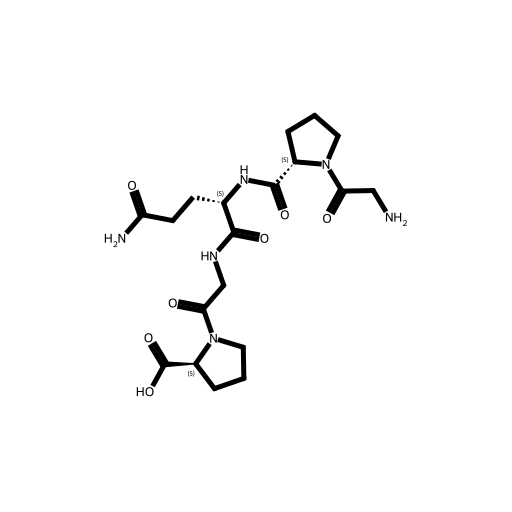 NCC(=O)N1CCC[C@H]1C(=O)N[C@@H](CCC(N)=O)C(=O)NCC(=O)N1CCC[C@H]1C(=O)O